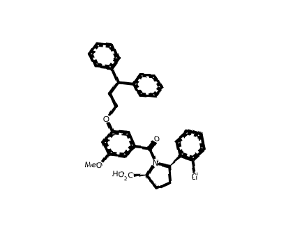 COc1cc(OCCC(c2ccccc2)c2ccccc2)cc(C(=O)N2[C@@H](c3ccccc3Cl)CC[C@H]2C(=O)O)c1